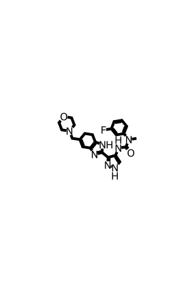 CN(C(=O)Nc1c[nH]nc1-c1nc2c([nH]1)CCC(CN1CCOCC1)=C2)c1cccc(F)c1